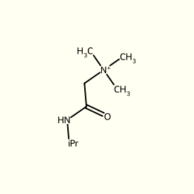 CC(C)NC(=O)C[N+](C)(C)C